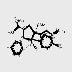 C=NCC(Cl)[C@]1(OC)C[C@H](C(=O)OC)[C@@H](c2ccccc2)[C@@]1(OCC)c1ccc(Br)cc1